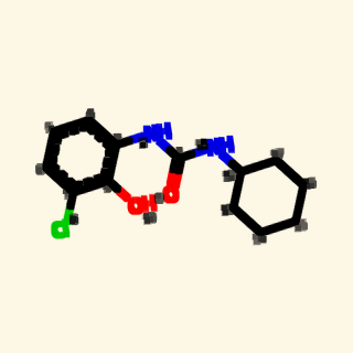 O=C(Nc1cccc(Cl)c1O)NC1CCCCC1